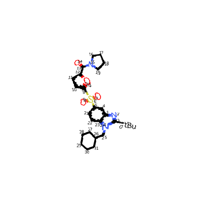 CC(C)(C)c1nc2cc(S(=O)(=O)c3ccc(C(=O)N4CCCC4)o3)ccc2n1CC1CCCCC1